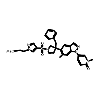 COCCn1cc(S(=O)(=O)N2CCC(Cc3ccccc3)(c3cc4cnn(-c5ccc(=O)n(C)c5)c4cc3C)C2)cn1